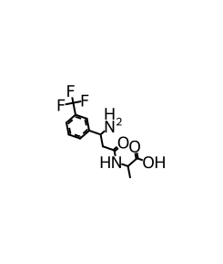 CC(NC(=O)CC(N)c1cccc(C(F)(F)F)c1)C(=O)O